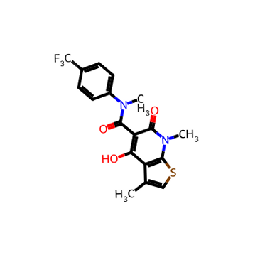 Cc1csc2c1c(O)c(C(=O)N(C)c1ccc(C(F)(F)F)cc1)c(=O)n2C